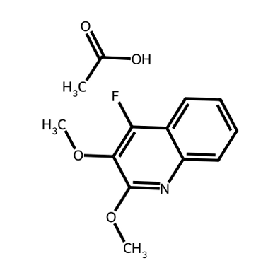 CC(=O)O.COc1nc2ccccc2c(F)c1OC